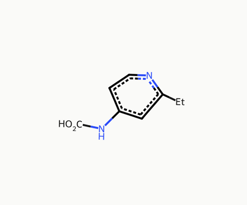 CCc1cc(NC(=O)O)ccn1